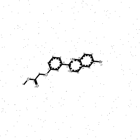 COC(=O)COc1cccc(-c2ncc3cc(Br)ccc3n2)c1